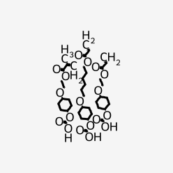 C=C(C)C(=O)OCCO[C@H]1CC[C@H](OC(=O)O)CC1.C=CC(=O)OCCCCCCO[C@H]1CC[C@H](OC(=O)O)CC1.C=CC(=O)OCCO[C@H]1CC[C@H](OC(=O)O)CC1